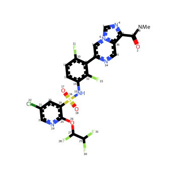 CNC(=O)c1ncn2cc(-c3c(F)ccc(NS(=O)(=O)c4cc(Cl)cnc4OC(F)C(F)F)c3F)ncc12